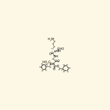 NCCCC[C@H](NC=O)C(=O)NCC(=O)N(C(=O)OCc1ccccc1)[C@@H](Cc1ccccc1)C(=O)O